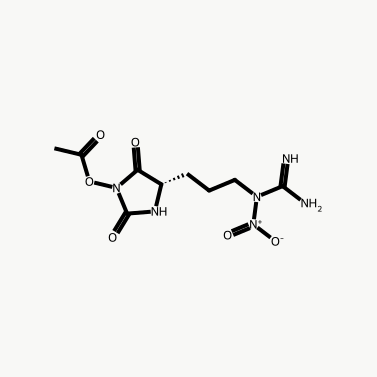 CC(=O)ON1C(=O)N[C@@H](CCCN(C(=N)N)[N+](=O)[O-])C1=O